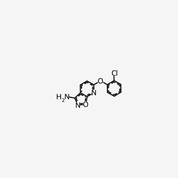 Nc1noc2nc(Oc3ccccc3Cl)ccc12